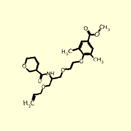 C=CCOCC(COCCOc1c(C)cc(C(=O)OC)cc1C)NC(=O)C1CCCOC1